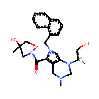 C[C@@H](CO)N1CN(C)Cc2c1cn(Cc1cccc3ccccc13)c2C(=O)N1CC(C)(O)CO1